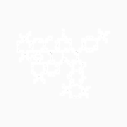 Cc1cc2c3c(c1)N(c1cc4c(cc1C)C(C)(C)CCC4(C)C)c1c(ccc4c1C(C)(C)CCC4(C)C)B3c1c(sc3cc4c(cc13)C(C)(C)CCC4(C)C)N2c1ccc(C(C)(C)C)cc1